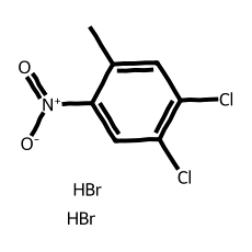 Br.Br.Cc1cc(Cl)c(Cl)cc1[N+](=O)[O-]